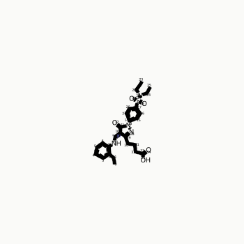 CCc1ccccc1N/C=C1/C(=O)N(c2ccc(S(=O)(=O)N(CC)CC)cc2)N=C1CCCC(=O)O